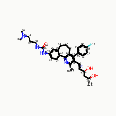 CC[C@H](O)C[C@H](O)/C=C/c1c(C(C)C)nc2c(c1-c1ccc(F)cc1)CCCc1cc(NC(=O)NCCCN(C)C)ccc1-2